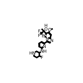 COc1cc2ncc(-c3cccc(NC4CNCCC4F)n3)n2nc1C(C)(O)C(F)(F)F